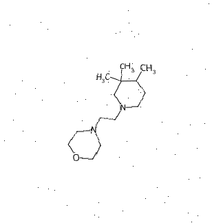 CC1CCN(CCN2CCOCC2)CC1(C)C